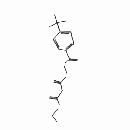 CCOC(=O)CC(=N)NNC(=O)c1ccc(C(C)(C)C)cc1